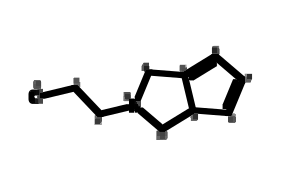 ClCCN1CC2=CC=CC2C1